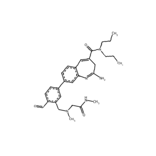 CCCN(CCC)C(=O)C1=Cc2ccc(-c3ccc(C=O)c(CN(C)CC(=O)NC)c3)cc2N=C(N)C1